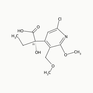 CC[C@@](O)(C(=O)O)c1cc(Cl)nc(OC)c1COC